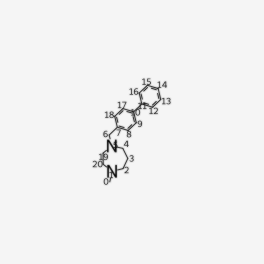 CN1CCCN(Cc2ccc(-c3ccccc3)cc2)CC1